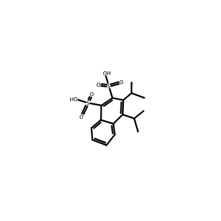 CC(C)c1c(S(=O)(=O)O)c(S(=O)(=O)O)c2ccccc2c1C(C)C